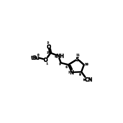 CC(C)(C)OC(=O)NCC1=NC(C#N)CS1